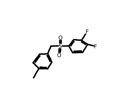 Cc1ccc(CS(=O)(=O)c2ccc(F)c(F)c2)cc1